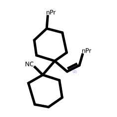 CCC/C=C\C1(C2(C#N)CCCCC2)CCC(CCC)CC1